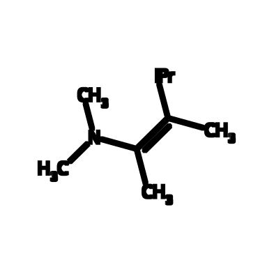 C/C(=C(\C)N(C)C)C(C)C